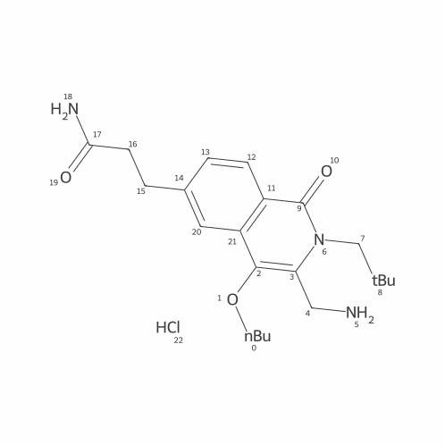 CCCCOc1c(CN)n(CC(C)(C)C)c(=O)c2ccc(CCC(N)=O)cc12.Cl